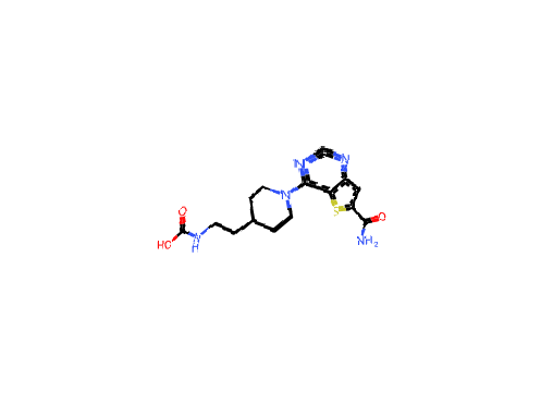 NC(=O)c1cc2ncnc(N3CCC(CCNC(=O)O)CC3)c2s1